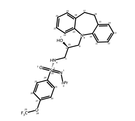 CCCN=[S@@](=O)(NC[C@@H](O)CN1c2ccccc2CCc2ccccc21)c1ccc(OC(F)(F)F)cc1